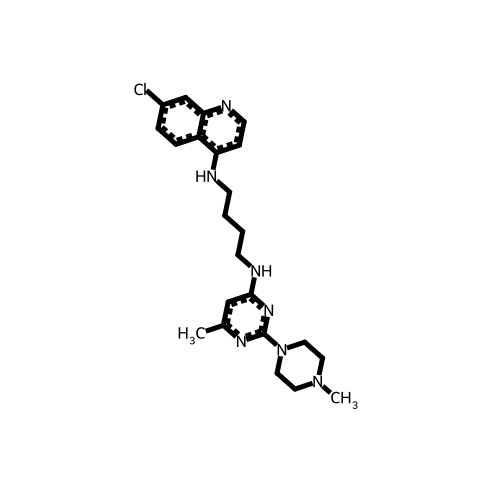 Cc1cc(NCCCCNc2ccnc3cc(Cl)ccc23)nc(N2CCN(C)CC2)n1